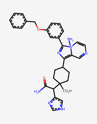 NC(=O)C(c1c[nH]cn1)C1(C(=O)O)CCC(C2=C3C=NC=C[N+]3(N)C(c3cccc(OCc4ccccc4)c3)=N2)CC1